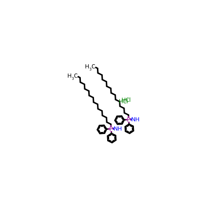 CCCCCCCCCCCCCCCCP(=N)(c1ccccc1)c1ccccc1.CCCCCCCCCCCCCCCCP(=N)(c1ccccc1)c1ccccc1.Cl.Cl